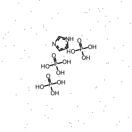 O=P(O)(O)O.O=P(O)(O)O.O=P(O)(O)O.c1c[nH]cn1